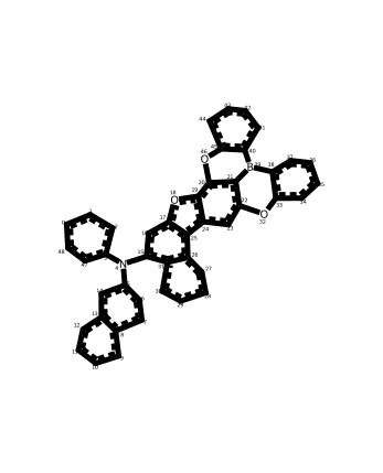 c1ccc(N(c2ccc3ccccc3c2)c2cc3oc4c5c6c(cc4c3c3ccccc23)Oc2ccccc2B6c2ccccc2O5)cc1